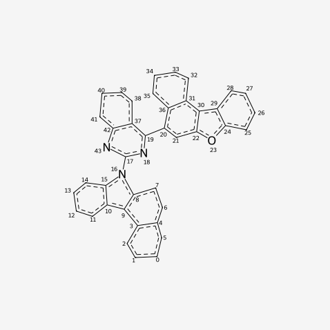 c1ccc2c(c1)ccc1c2c2ccccc2n1-c1nc(-c2cc3oc4ccccc4c3c3ccccc23)c2ccccc2n1